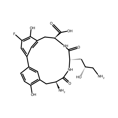 NC[C@H](O)C[C@@H]1NC(=O)[C@@H](N)Cc2cc(ccc2O)-c2cc(F)c(O)c(c2)C[C@@H](C(=O)O)NC1=O